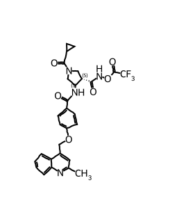 Cc1cc(COc2ccc(C(=O)N[C@@H]3CN(C(=O)C4CC4)C[C@@H]3C(=O)NOC(=O)C(F)(F)F)cc2)c2ccccc2n1